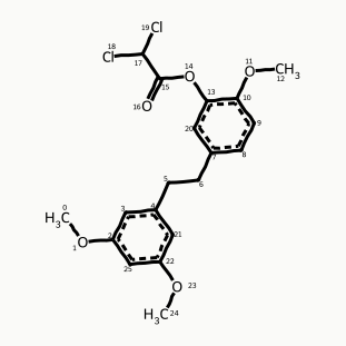 COc1cc(CCc2ccc(OC)c(OC(=O)C(Cl)Cl)c2)cc(OC)c1